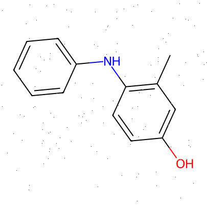 Cc1cc(O)ccc1Nc1ccccc1